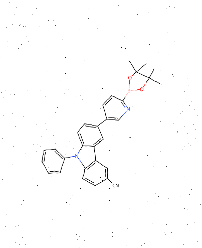 CC1(C)OB(c2ccc(-c3ccc4c(c3)c3cc(C#N)ccc3n4-c3ccccc3)cn2)OC1(C)C